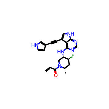 C=CC(=O)N1C[C@H](Nc2ncnc3[nH]cc(C#Cc4cc[nH]c4)c23)[C@@H](F)C[C@@H]1C